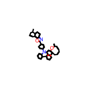 C=C1/C=C\C=C/Cc2ccc(N(c3ccc(-c4nc5ccc6c(c5o4)C=CCC6C)cc3)c3ccccc3-c3ccccc3)cc2O1